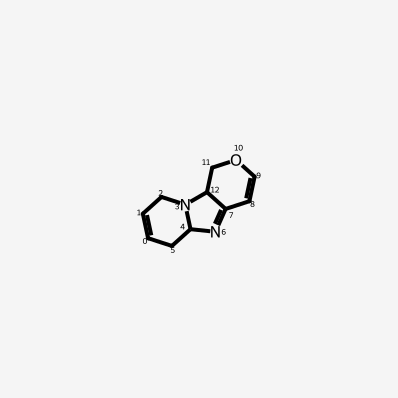 C1=CCN2C(C1)N=C1C=COCC12